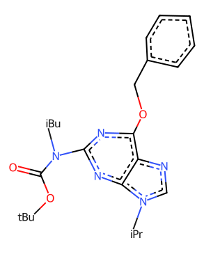 CCC(C)N(C(=O)OC(C)(C)C)c1nc(OCc2ccccc2)c2ncn(C(C)C)c2n1